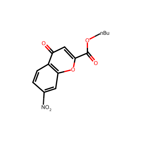 CCCCOC(=O)c1cc(=O)c2ccc([N+](=O)[O-])cc2o1